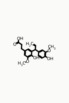 C=CC(c1ccc(O)c(OC)c1)c1cc(CCC(=O)O)cc(OC)c1O